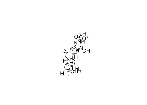 C[C@]12CC(=NO)C(=NNS(C)(=O)=O)C=C1C1(CC1)C[C@@H]1[C@@H]2CC[C@@]2(C)[C@H]1CC[C@]2(C)O